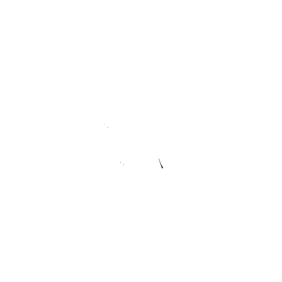 CC[C@@H](C)c1nccnc1C